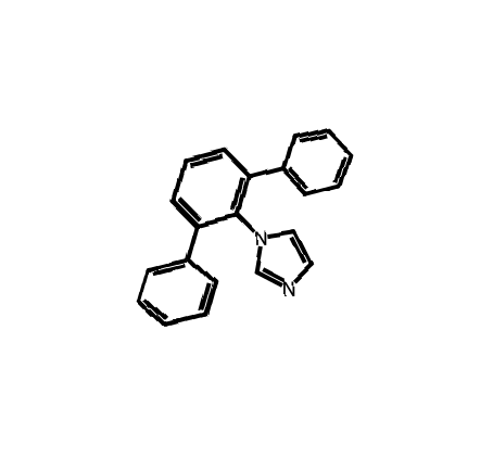 c1ccc(-c2cccc(-c3ccccc3)c2-n2ccnc2)cc1